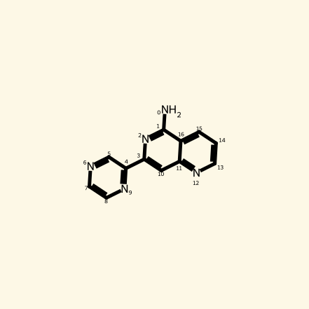 Nc1nc(-c2cnccn2)cc2ncccc12